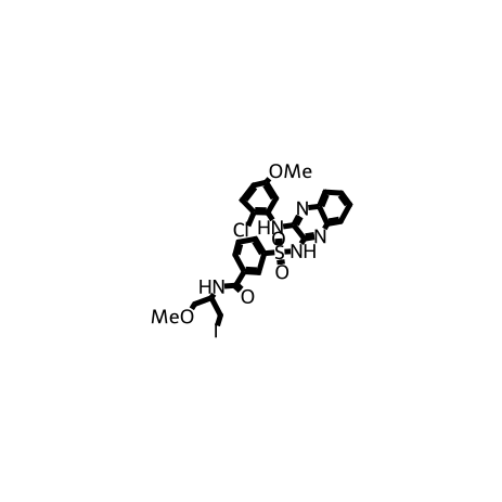 COCC(CI)NC(=O)c1cccc(S(=O)(=O)Nc2nc3ccccc3nc2Nc2cc(OC)ccc2Cl)c1